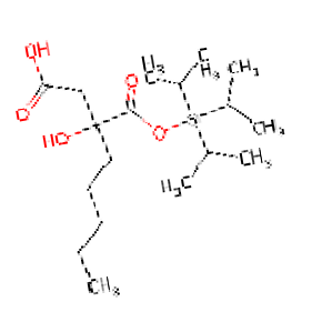 CCCCCC(O)(CC(=O)O)C(=O)O[Si](C(C)C)(C(C)C)C(C)C